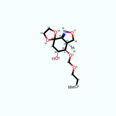 COCCOCO[C@H]1[C@H](O)CC2(OCCO2)C2=NOC[C@H]21